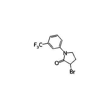 O=C1C(Br)CCN1c1cccc(C(F)(F)F)c1